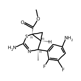 COC(=O)[C@]12C[C@H]1[C@@](C)(c1cc(N)cc(F)c1F)N=C(N)S2